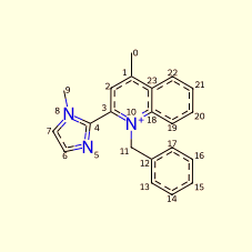 Cc1cc(-c2nccn2C)[n+](Cc2ccccc2)c2ccccc12